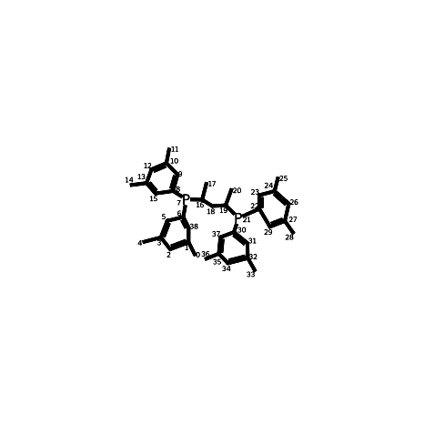 Cc1cc(C)cc(P(c2cc(C)cc(C)c2)C(C)CC(C)P(c2cc(C)cc(C)c2)c2cc(C)cc(C)c2)c1